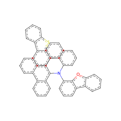 c1ccc(-c2c(N(c3ccccc3-c3cccc4c3sc3ccccc34)c3cccc4c3oc3ccccc34)c3ccccc3c3ccccc23)cc1